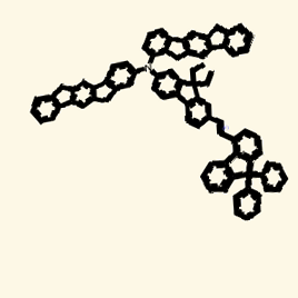 CCC1(CC)c2cc(/C=C/c3cccc4c3-c3ccccc3C4(c3ccccc3)c3ccccc3)ccc2-c2ccc(N(c3ccc4c(c3)Cc3cc5c(cc3-4)Cc3ccccc3-5)c3cccc4c3Cc3cc5c(cc3-4)Cc3ccccc3-5)cc21